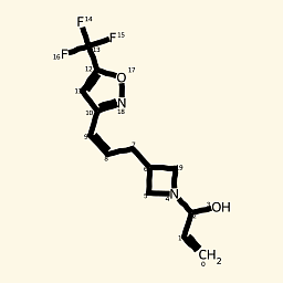 C=CC(O)N1CC(C/C=C\c2cc(C(F)(F)F)on2)C1